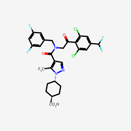 O=C(CN(Cc1cc(F)cc(F)c1)C(=O)c1cnn([C@H]2CC[C@H](C(=O)O)CC2)c1C(F)(F)F)c1c(Cl)cc(C(F)F)cc1Cl